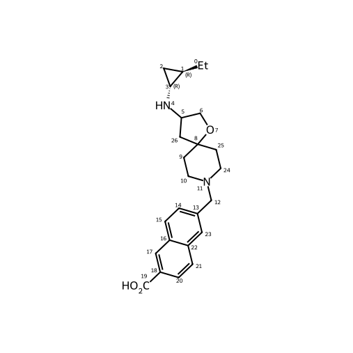 CC[C@@H]1C[C@H]1NC1COC2(CCN(Cc3ccc4cc(C(=O)O)ccc4c3)CC2)C1